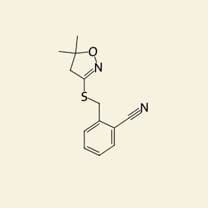 CC1(C)CC(SCc2ccccc2C#N)=NO1